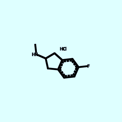 CNC1Cc2ccc(F)cc2C1.Cl